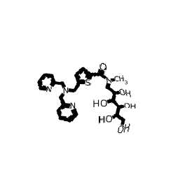 CN(CC(O)C(O)C(O)C(O)CO)C(=O)c1ccc(CN(Cc2ccccn2)Cc2ccccn2)s1